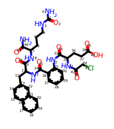 NC(=O)NCCCC(NC(=O)C(Cc1ccc2ccccc2c1)NC(=O)c1ccccc1NC(=O)C(CCC(=O)O)NC(=O)CCl)C(N)=O